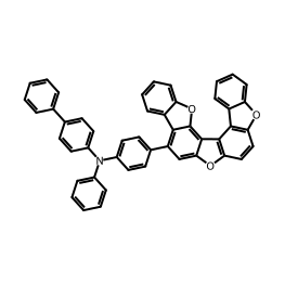 c1ccc(-c2ccc(N(c3ccccc3)c3ccc(-c4cc5oc6ccc7oc8ccccc8c7c6c5c5oc6ccccc6c45)cc3)cc2)cc1